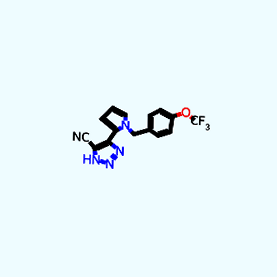 N#Cc1[nH]nnc1-c1cccn1Cc1ccc(OC(F)(F)F)cc1